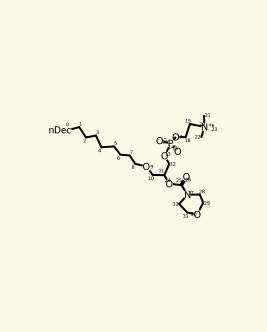 CCCCCCCCCCCCCCCCCCOCC(COP(=O)([O-])OCC[N+](C)(C)C)OC(=O)N1CCOCC1